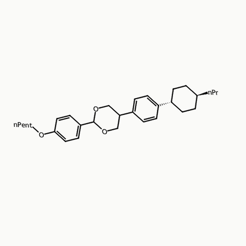 CCCCCOc1ccc(C2OCC(c3ccc([C@H]4CC[C@H](CCC)CC4)cc3)CO2)cc1